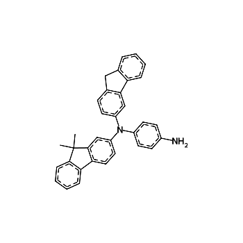 CC1(C)c2ccccc2-c2ccc(N(c3ccc(N)cc3)c3ccc4c(c3)-c3ccccc3C4)cc21